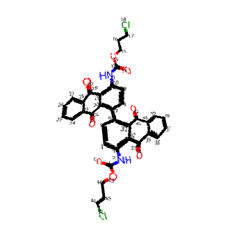 O=C(Nc1ccc(-c2ccc(NC(=O)OCCCCl)c3c2C(=O)c2ccccc2C3=O)c2c1C(=O)c1ccccc1C2=O)OCCCCl